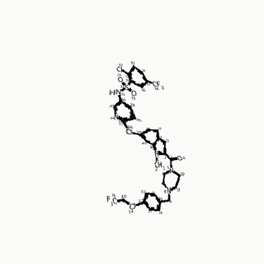 Cn1c(C(=O)N2CCN(Cc3ccc(OCC(F)(F)F)cc3)CC2)cc2ccc(Oc3ccc(NS(=O)(=O)c4cc(C(F)(F)F)ccc4Cl)cn3)cc21